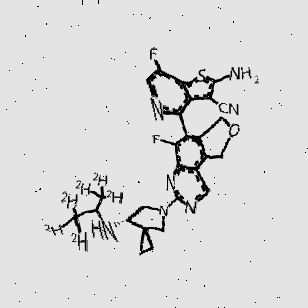 [2H]C([2H])([2H])C(N[C@@H]1CN(c2ncc3c4c(c(-c5ncc(F)c6sc(N)c(C#N)c56)c(F)c3n2)COC4)CC12CC2)C([2H])([2H])[2H]